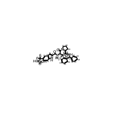 CC(C)(C)C(NC(=O)c1cc2cc(C(F)(F)P(=O)(O)O)ccc2[nH]1)C(=O)N1CCCC1C(=O)NC(c1ccccc1)c1ccccc1